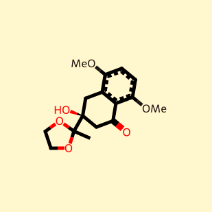 COc1ccc(OC)c2c1C[C@@](O)(C1(C)OCCO1)CC2=O